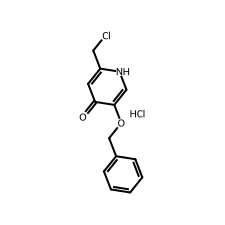 Cl.O=c1cc(CCl)[nH]cc1OCc1ccccc1